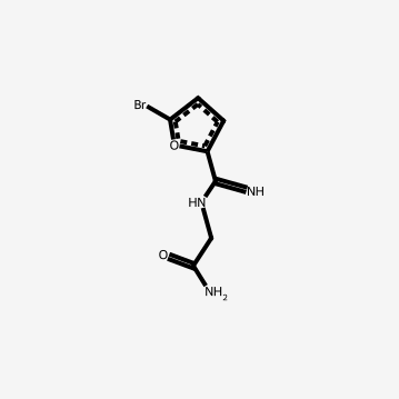 N=C(NCC(N)=O)c1ccc(Br)o1